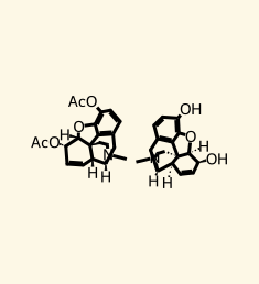 CC(=O)Oc1ccc2c3c1O[C@H]1[C@@H](OC(C)=O)C=C[C@H]4[C@@H](C2)N(C)CC[C@@]341.CN1CC[C@]23c4c5ccc(O)c4O[C@H]2[C@@H](O)C=C[C@H]3[C@H]1C5